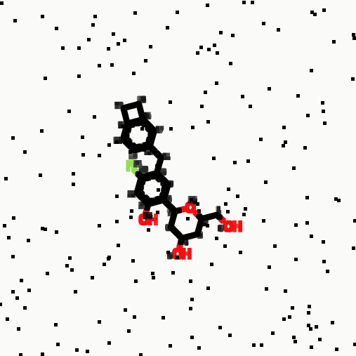 OCC1CC(O)CC(c2cc(Cc3ccc4c(c3)CC4)c(F)cc2O)O1